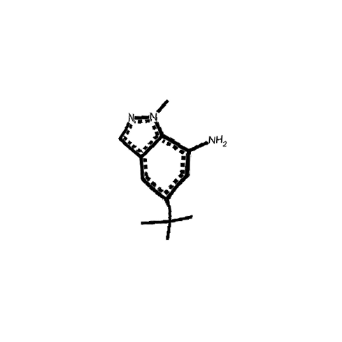 Cn1ncc2cc(C(C)(C)C)cc(N)c21